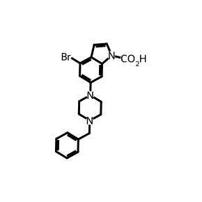 O=C(O)n1ccc2c(Br)cc(N3CCN(Cc4ccccc4)CC3)cc21